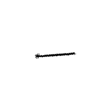 C[Si](Cl)(Cl)CCCCCCCCCCCCCCCCCCCCCCCCCCCCCCCCCCCCI